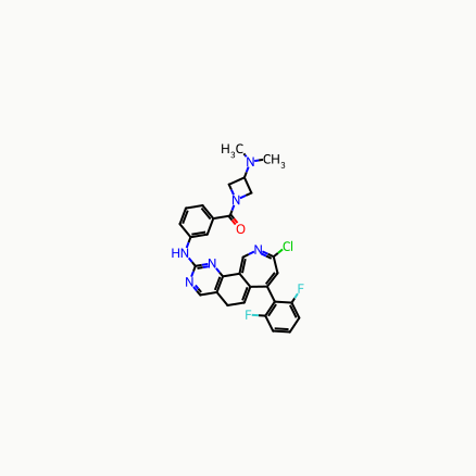 CN(C)C1CN(C(=O)c2cccc(Nc3ncc4c(n3)C3=CN=C(Cl)C=C(c5c(F)cccc5F)C3=CC4)c2)C1